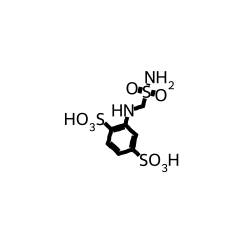 NS(=O)(=O)CNc1cc(S(=O)(=O)O)ccc1S(=O)(=O)O